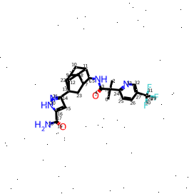 CC(C)(C(=O)NC1C2CC3CC1CC(c1cc(C(N)=O)[nH]n1)(C3)C2)c1ccc(C(F)(F)F)cn1